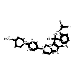 CC1=C(C(C)(O)c2ccccc2OC(F)F)[N+]2CN(c3cnc(N4CCC(C(=O)O)CC4)nc3)C=CC2=N1